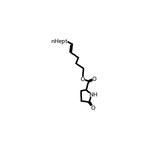 CCCCCCCC=CCCCOC(=O)C1CCC(=O)N1